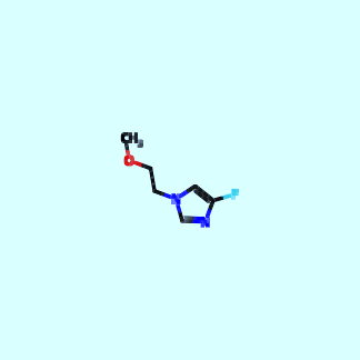 COCCn1cnc(F)c1